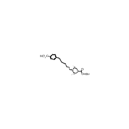 C[C@@H]1CN(C(=O)OC(C)(C)C)C[C@H](C)N1CCCCCCc1ccc(C(=O)O)cc1